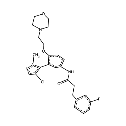 Cn1ncc(Cl)c1-c1cc(NC(=O)CCc2cccc(F)c2)ccc1OCCN1CCOCC1